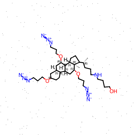 C[C@H](CCCNCCCCO)C1CC[C@H]2[C@@H]3[C@H](OCCCN=[N+]=[N-])C[C@@H]4C[C@H](OCCCN=[N+]=[N-])CC[C@]4(C)[C@H]3C[C@H](OCCCN=[N+]=[N-])[C@]12C